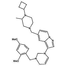 COc1ccc(CN2CC=CN(c3cnn4ccc(CN5CCN(C6CCC6)C(C)C5)cc34)C2)c(OC)c1